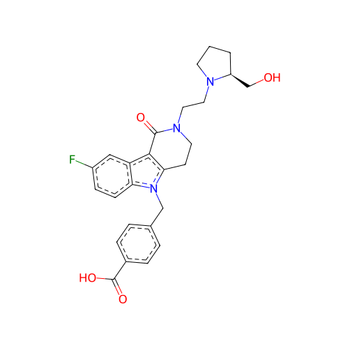 O=C(O)c1ccc(Cn2c3c(c4cc(F)ccc42)C(=O)N(CCN2CCC[C@H]2CO)CC3)cc1